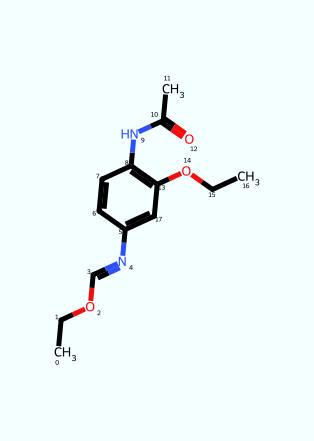 CCO/C=N/c1ccc(NC(C)=O)c(OCC)c1